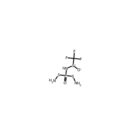 NSP(=O)(N[S+]([O-])C(F)(F)F)SN